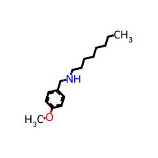 CCCCCCCCNCc1ccc(OC)cc1